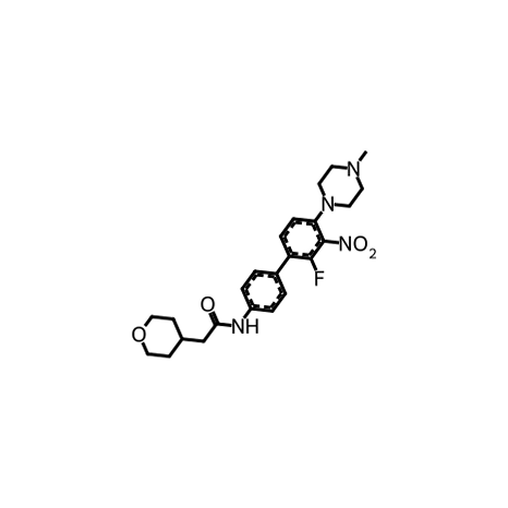 CN1CCN(c2ccc(-c3ccc(NC(=O)CC4CCOCC4)cc3)c(F)c2[N+](=O)[O-])CC1